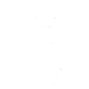 O=C=N/C=C/c1ccc(F)c(F)c1